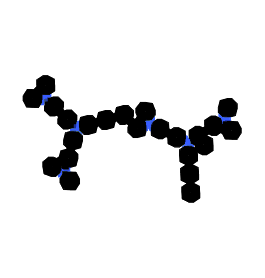 c1ccc(-c2ccc(-c3ccc(N(c4ccc(-c5ccc(-n6c7ccccc7c7c(-c8cccc(-c9ccc(-c%10ccc(N(c%11ccc(-c%12ccc(-n%13c%14ccccc%14c%14ccccc%14%13)cc%12)cc%11)c%11ccc(-c%12ccc%13c(c%12)c%12ccccc%12n%13-c%12ccccc%12)cc%11)cc%10)cc9)c8)cccc76)cc5)cc4)c4ccc(-c5ccc6c(c5)c5ccccc5n6-c5ccccc5)c5ccccc45)cc3)cc2)cc1